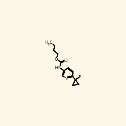 CCCCOC(=O)Nc1ccc(C2(F)CC2)nc1